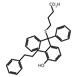 O=C(O)CCCSC(c1ccccc1)(c1ccccc1)c1cccc(O)c1CCCc1ccccc1